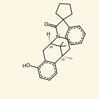 CC1(C)[C@H]2Cc3c(O)cccc3[C@]1(C)CCN2C(=O)C1(c2ccccc2)CCCC1